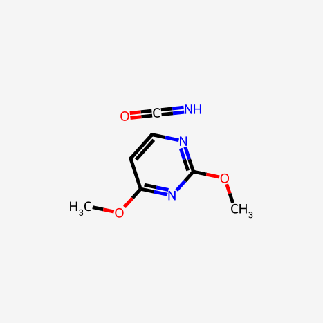 COc1ccnc(OC)n1.N=C=O